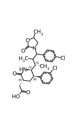 CC1CN(C(c2ccc(Cl)cc2)C(C)[C@H](C)[C@@H]2NC(=O)[C@@H](CC(=O)O)C[C@@H]2c2cccc(Cl)c2)C(=O)O1